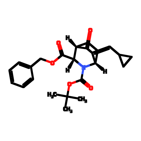 CC(C)(C)OC(=O)N1[C@H](C(=O)OCc2ccccc2)[C@@H]2CC[C@H]1/C(=C\C1CC1)C2=O